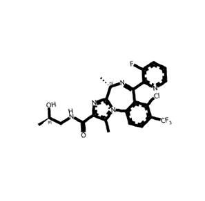 Cc1c(C(=O)NC[C@@H](C)O)nc2n1-c1ccc(C(F)(F)F)c(Cl)c1C(c1ncccc1F)=N[C@H]2C